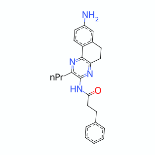 CCCc1nc2c(nc1NC(=O)CCc1ccccc1)CCc1cc(N)ccc1-2